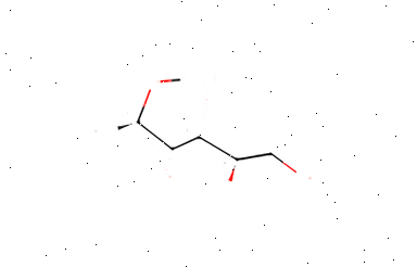 O=C[C@@H](OS(=O)(=O)O)[C@@H](O)[C@H](O)[C@H](O)CO